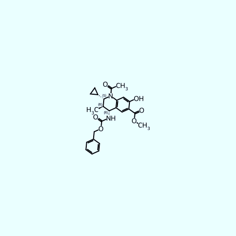 COC(=O)c1cc2c(cc1O)N(C(C)=O)[C@@H](C1CC1)[C@H](C)[C@H]2NC(=O)OCc1ccccc1